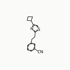 N#Cc1cccc(CCc2nc(C3CCC3)cs2)c1